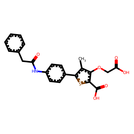 Cc1c(-c2ccc(NC(=O)Cc3ccccc3)cc2)sc(C(=O)O)c1OCC(=O)O